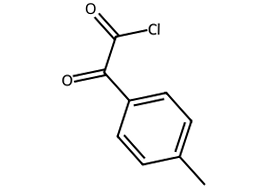 Cc1ccc(C(=O)C(=O)Cl)cc1